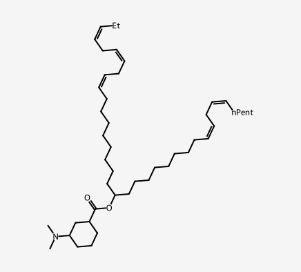 CC/C=C\C/C=C\C/C=C\CCCCCCCCC(CCCCCCCC/C=C\C/C=C\CCCCC)OC(=O)C1CCCC(N(C)C)C1